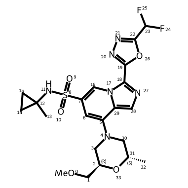 COC[C@H]1CN(c2cc(S(=O)(=O)NC3(C)CC3)cn3c(-c4nnc(C(F)F)o4)ncc23)C[C@H](C)O1